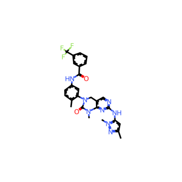 Cc1cc(Nc2ncc3c(n2)N(C)C(=O)N(c2cc(NC(=O)c4cccc(C(F)(F)F)c4)ccc2C)C3)n(C)n1